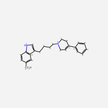 O=C(O)c1ccc2[nH]cc(CCCCN3CC=C(c4ccccc4)CC3)c2c1